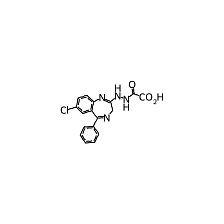 O=C(O)C(=O)NNC1=Nc2ccc(Cl)cc2C(c2ccccc2)=NC1